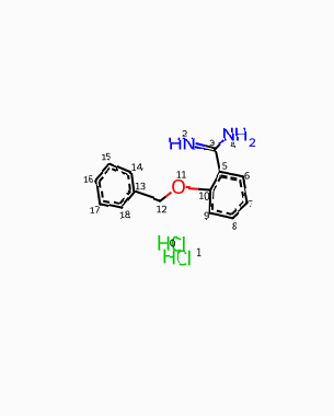 Cl.Cl.N=C(N)c1ccccc1OCc1ccccc1